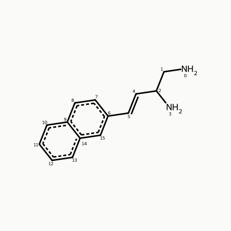 NCC(N)/C=C/c1ccc2ccccc2c1